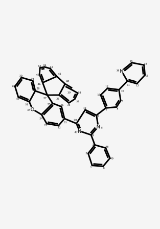 c1ccc(-c2nc(-c3ccc(-c4ccccn4)cc3)cc(-c3ccc4c(c3)C3(c5ccccc5O4)c4ccccc4-c4ccccc43)n2)cc1